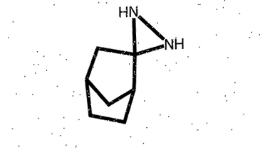 C1CC2CC1CC21NN1